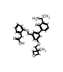 C[C@@H](N)c1cccc(-c2cc(COc3ccccc3CC(=O)O)cc(OCC3(C)COC3)c2)c1F